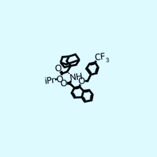 CC(C)OC(=O)[C@@H](NC(=O)c1ccc2ccccc2c1OCc1ccc(C(F)(F)F)cc1)C12CC3CC(CC(C3)C1)C2